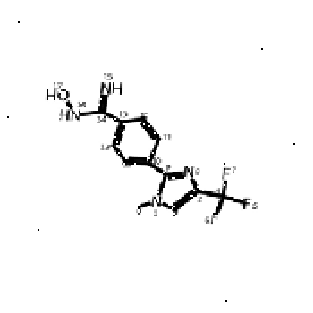 Cn1cc(C(F)(F)F)nc1-c1ccc(C(=N)NO)cc1